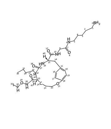 BCCCCCNC(=O)CNC(=O)[C@@H]1Cc2ccc(cc2)OCCC[C@H](C(=O)NOPI)[C@@H](CCCC)C(=O)N1